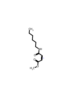 CCCCCCNC(=O)/C=C\C(=O)OC